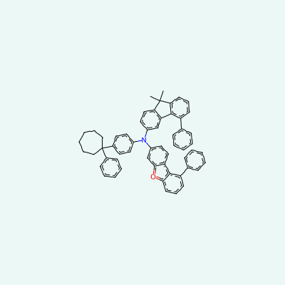 CC1(C)c2ccc(N(c3ccc(C4(c5ccccc5)CCCCCC4)cc3)c3ccc4c(c3)oc3cccc(-c5ccccc5)c34)cc2-c2c(-c3ccccc3)cccc21